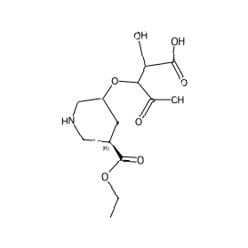 CCOC(=O)[C@H]1CNCC(OC(C(=O)O)C(O)C(=O)O)C1